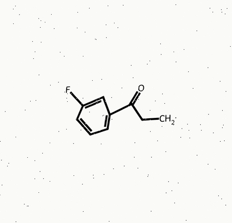 [CH2]CC(=O)c1cccc(F)c1